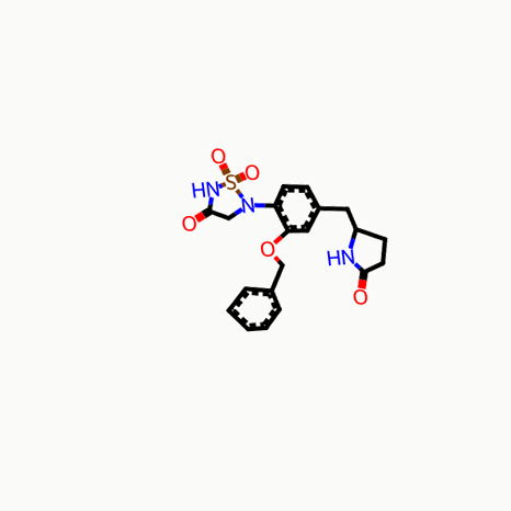 O=C1CCC(Cc2ccc(N3CC(=O)NS3(=O)=O)c(OCc3ccccc3)c2)N1